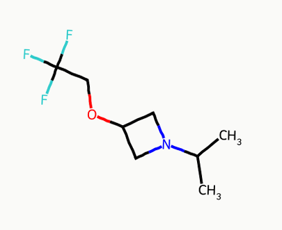 CC(C)N1CC(OCC(F)(F)F)C1